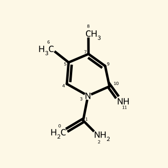 C=C(N)n1cc(C)c(C)cc1=N